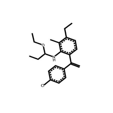 C=C(c1ccc(Cl)cc1)c1ccc(CC)c(C)c1NC(CC)OCC